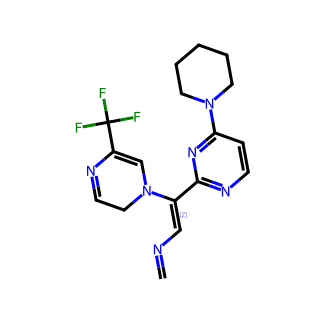 C=N/C=C(/c1nccc(N2CCCCC2)n1)N1C=C(C(F)(F)F)N=CC1